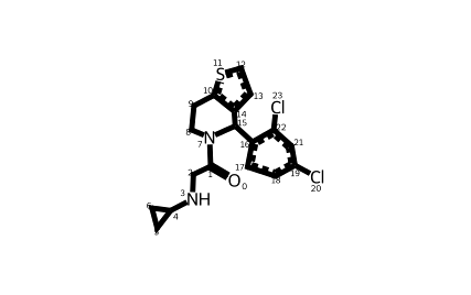 O=C(CNC1CC1)N1CCc2sccc2C1c1ccc(Cl)cc1Cl